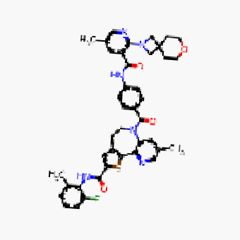 Cc1cnc(N2CC3(CCOCC3)C2)c(C(=O)Nc2ccc(C(=O)N3CCc4cc(C(=O)Nc5c(C)cccc5F)sc4-c4ncc(C)cc43)cc2)c1